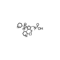 CN(Cc1cn(S(=O)(=O)c2cccnc2)c(-c2cccnc2Cl)c1F)C(=O)O